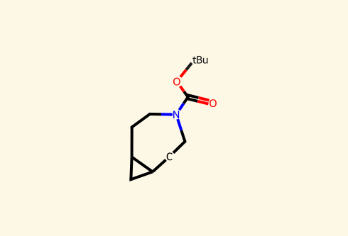 CC(C)(C)OC(=O)N1CCC2CC2CC1